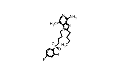 CCCCc1nc2c(N)ncc(C)c2n1CCCCS(=O)(=O)c1ccc(F)cc1F